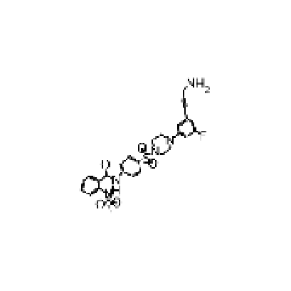 CN(c1ccccc1C(=O)Nc1ccc(S(=O)(=O)N2CCN(c3cc(F)cc(C#CCN)c3)CC2)cc1)S(C)(=O)=O